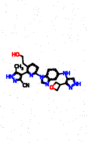 Cc1[nH]nc(C#N)c1-c1nc(-n2cnc3cc(Nc4c[nH]nc4C4COC4)ccc32)ccc1CCO